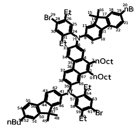 CCCCCCCCc1c(CCCCCCCC)c2cc(N(c3ccc4c(c3)C(C)(C)c3cc(CCCC)ccc3-4)c3cc(CC)c(Br)cc3CC)ccc2c2ccc(N(c3ccc4c(c3)C(C)(C)c3cc(CCCC)ccc3-4)c3cc(CC)c(Br)cc3CC)cc12